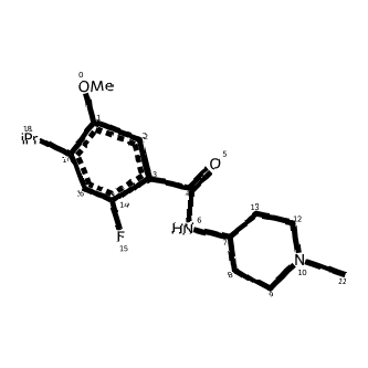 COc1cc(C(=O)NC2CCN(C)CC2)c(F)cc1C(C)C